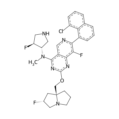 CN(c1nc(OC[C@@]23CCCN2C[C@H](F)C3)nc2c(F)c(-c3cccc4cccc(Cl)c34)ncc12)[C@H]1CNC[C@@H]1F